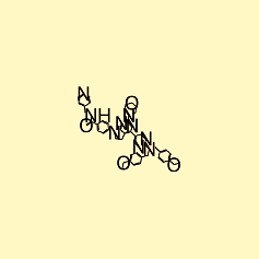 COc1ccc(CN(Cc2ccc(OC)cc2)c2ncc(-c3nc(N4CCOCC4)nc4c3CCN4c3ccc(C(=O)NCc4ccncc4)cc3)cn2)cc1